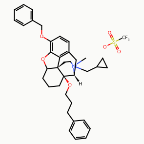 C[N+]1(CC2CC2)CC[C@]23c4c5ccc(OCc6ccccc6)c4OC2CCC[C@@]3(OCCCc2ccccc2)[C@H]1C5.O=S(=O)([O-])C(F)(F)F